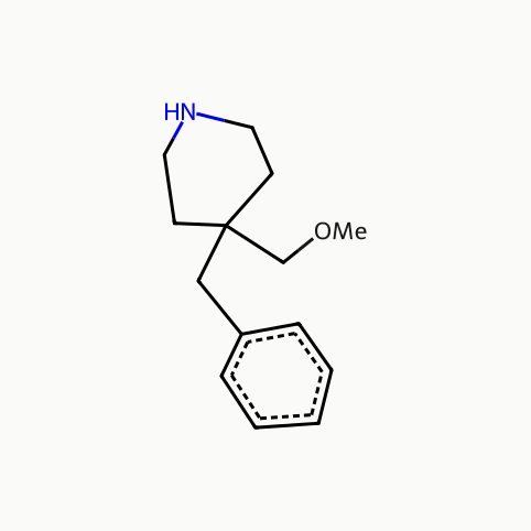 COCC1(Cc2ccccc2)CCNCC1